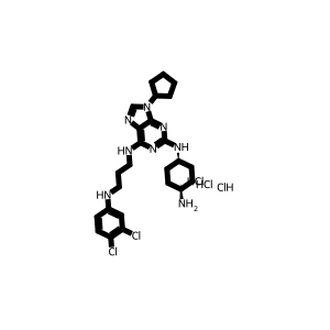 Cl.Cl.Cl.N[C@H]1CC[C@H](Nc2nc(NCCCNc3ccc(Cl)c(Cl)c3)c3ncn(C4CCCC4)c3n2)CC1